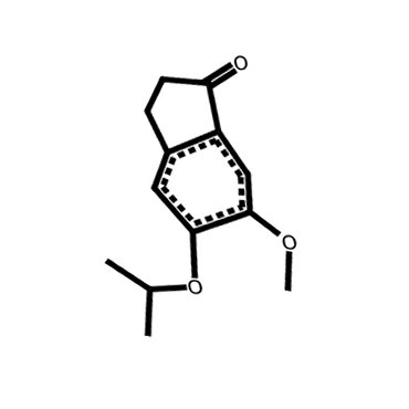 COc1cc2c(cc1OC(C)C)CCC2=O